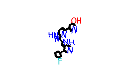 Oc1cncc(-c2ccc3[nH]nc(-c4cc5c(-c6cccc(F)c6)cncc5[nH]4)c3n2)c1